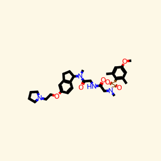 COc1cc(C)c(S(=O)(=O)N(C)CC(=O)NCC(=O)N(C)C2CCc3cc(OCCN4CCCC4)ccc32)c(C)c1